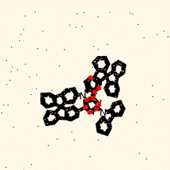 C1=C(c2nc(-c3ccc4c(c3)C3(c5ccccc5-4)c4ccccc4-c4ccc(-n5c6ccccc6c6ccccc65)cc43)nc(-n3c4ccccc4c4ccccc43)n2)CCC2=C1C1(c3ccccc32)c2ccccc2-c2ccccc21